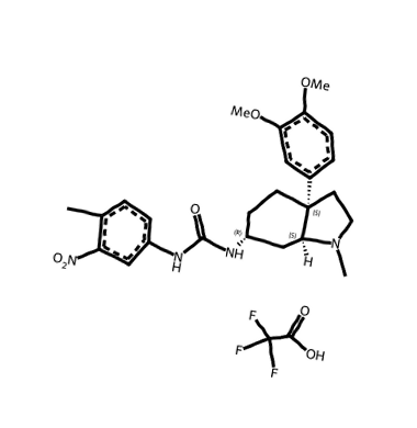 COc1ccc([C@@]23CC[C@@H](NC(=O)Nc4ccc(C)c([N+](=O)[O-])c4)C[C@@H]2N(C)CC3)cc1OC.O=C(O)C(F)(F)F